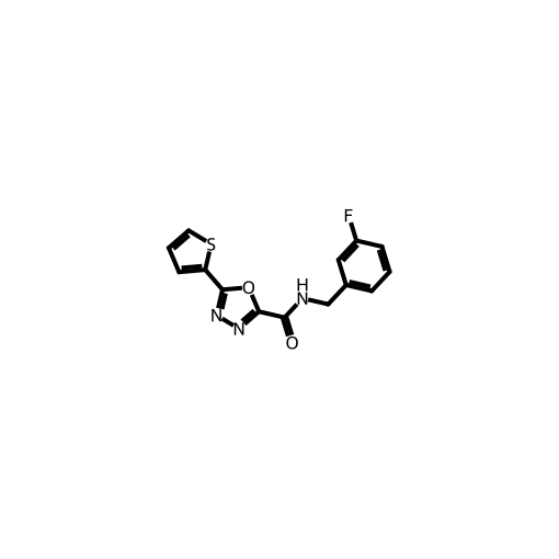 O=C(NCc1cccc(F)c1)c1nnc(-c2cccs2)o1